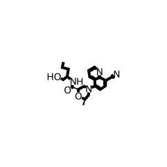 CCCC(CO)NC(=O)[C@H]1CN(c2ccc(C#N)c3ncccc23)C[C@@H](C)O1